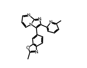 Cc1cccc(-c2nc3ncccn3c2-c2ccc3nc(C)oc3c2)n1